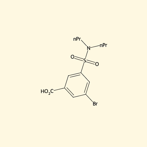 CCCN(CCC)S(=O)(=O)c1cc(Br)cc(C(=O)O)c1